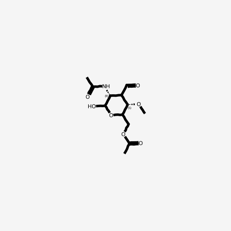 CO[C@@H]1C(COC(C)=O)OC(O)[C@H](NC(C)=O)C1C=O